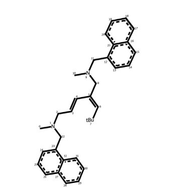 CN(C/C=C/C(=C\C(C)(C)C)CN(C)Cc1cccc2ccccc12)Cc1cccc2ccccc12